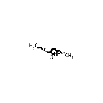 CCCCOCc1ccc(CCCC)[nH]c1=O